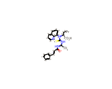 CC(C)C[C@@H](C(=O)O)N(C(=S)NC(NC(=O)/C=C/c1ccccc1)C(Cl)(Cl)Cl)c1cccc2cccnc12